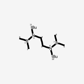 CB(C)N(CCN(B(C)C)C(C)(C)C)C(C)(C)C